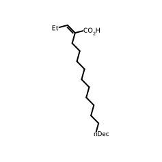 CCC=C(CCCCCCCCCCCCCCCCCCCC)C(=O)O